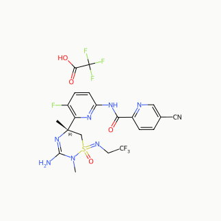 CN1C(N)=N[C@](C)(c2nc(NC(=O)c3ccc(C#N)cn3)ccc2F)CS1(=O)=NCC(F)(F)F.O=C(O)C(F)(F)F